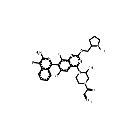 C=CC(=O)N1CCN(c2nc(OCC3CCCN3C)nc3c(F)c(-c4nc(N)c(F)c5ccccc45)c(Cl)cc23)C(C)C1